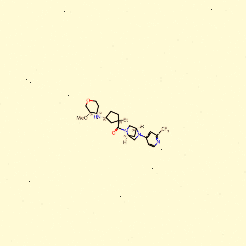 CC[C@]1(C(=O)N2C[C@@H]3C[C@H]2CN3c2ccnc(C(F)(F)F)c2)CC[C@@H](N[C@H]2CCOC[C@H]2OC)C1